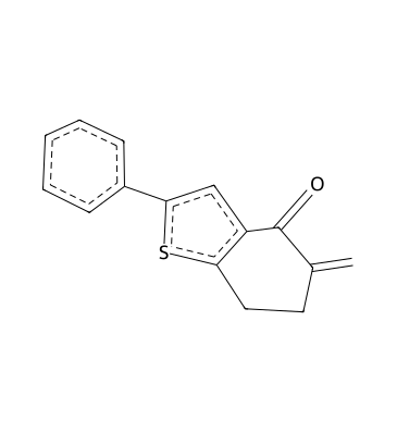 C=C1CCc2sc(-c3ccccc3)cc2C1=O